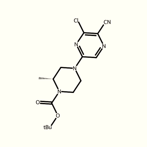 C[C@@H]1CN(c2cnc(C#N)c(Cl)n2)CCN1C(=O)OC(C)(C)C